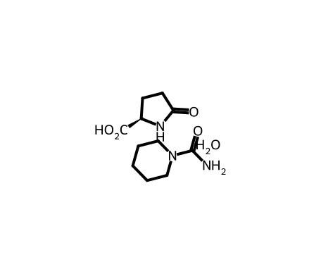 NC(=O)N1CCCCC1.O.O=C1CC[C@H](C(=O)O)N1